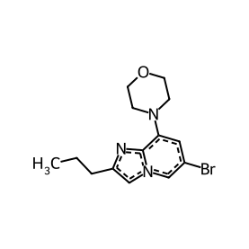 CCCc1cn2cc(Br)cc(N3CCOCC3)c2n1